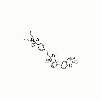 CCCN(CCC)S(=O)(=O)c1ccc(CCC(=O)Nc2nc(-c3ccc4c(c3)CNC(=O)O4)cs2)cc1